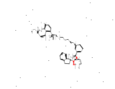 O=C(N[C@@]1(C2CN3CCC2CC3)CCc2ccccc21)c1cccc(OCCCCNCC(O)c2ccc(O)c3[nH]c(=O)ccc23)c1